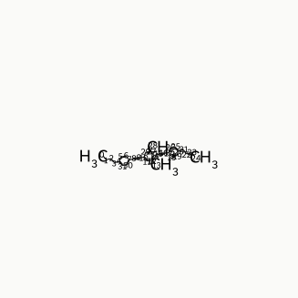 CCCCc1ccc(C#Cc2cc(C)c(C#Cc3ccc(CCCC)cc3)c(C)c2)cc1